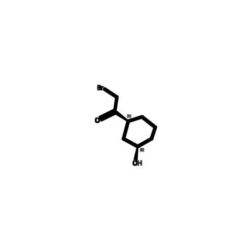 O=C(CBr)[C@H]1CCC[C@@H](O)C1